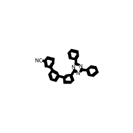 N#Cc1cccc(-c2cccc(-c3cccc(-c4nc(-c5ccccc5)nc(-c5ccccc5)n4)c3)c2)c1